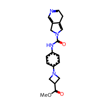 COC(=O)C1CN(c2ccc(NC(=O)N3C=C4CC=NC=C4C3)cc2)C1